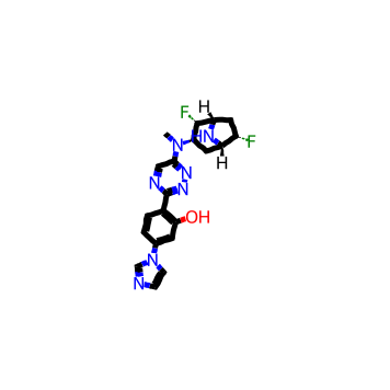 CN(c1cnc(-c2ccc(-n3ccnc3)cc2O)nn1)[C@@H]1C[C@@H]2N[C@@H](C[C@@H]2F)[C@H]1F